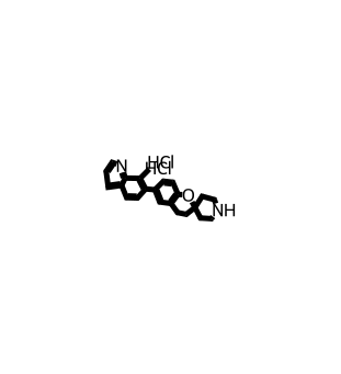 Cc1c(-c2ccc3c(c2)CCC2(CCNCC2)O3)ccc2cccnc12.Cl.Cl